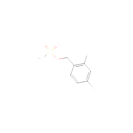 CCc1cc(Br)ccc1COS(C)(=O)=O